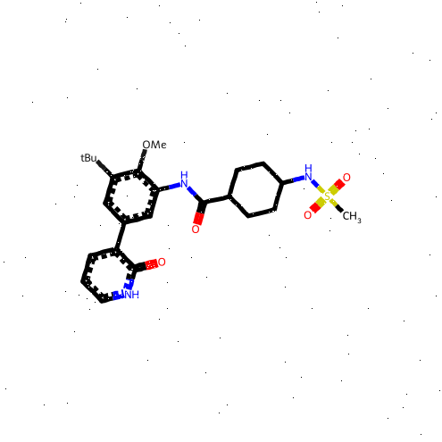 COc1c(NC(=O)C2CCC(NS(C)(=O)=O)CC2)cc(-c2ccc[nH]c2=O)cc1C(C)(C)C